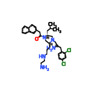 CC(C)C[C@@H]1CN(C[C@H](N)Cc2ccc(Cl)cc2Cl)[C@@H](CCCNCCN)CN1C(=O)Cc1ccc2ccccc2c1